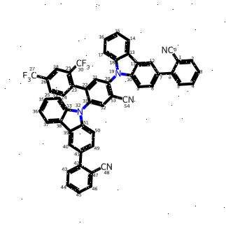 N#Cc1ccccc1-c1ccc2c(c1)c1ccccc1n2-c1cc(-c2ccc(C(F)(F)F)cc2C(F)(F)F)c(-n2c3ccccc3c3cc(-c4ccccc4C#N)ccc32)cc1C#N